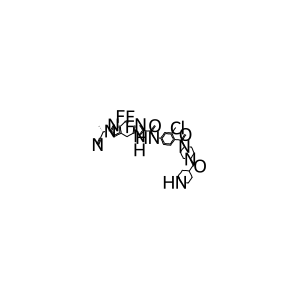 C[C@@H](C#N)n1cc(Cc2cnc(C(=O)Nc3ccc(C(=O)N4CCN(C(=O)C5CCNCC5)CC4)c(Cl)c3)[nH]2)c(C(F)(F)F)n1